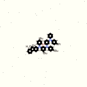 CC(C)c1ccc(N(c2ccccc2)c2ccc3c(c2)N(c2ccc(C(C)(C)C)cc2)c2cc(C(C)(C)C)cc4c2B3c2cc(C(C)(C)C)ccc2N4c2ccc3c(c2)C(C)(C)c2ccccc2-3)cc1